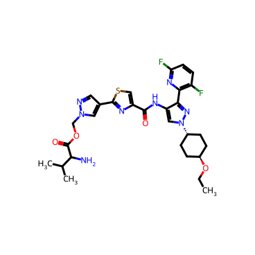 CCO[C@H]1CC[C@H](n2cc(NC(=O)c3csc(-c4cnn(COC(=O)C(N)C(C)C)c4)n3)c(-c3nc(F)ccc3F)n2)CC1